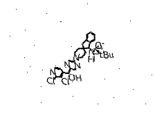 CC(C)(C)[S+]([O-])N[C@@H]1c2ccccc2CC12CCN(c1cnc(C(O)c3ccnc(Cl)c3Cl)cn1)CC2